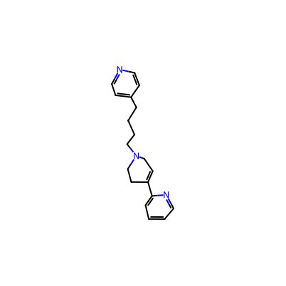 C1=C(c2ccccn2)CCN(CCCCc2ccncc2)C1